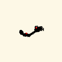 Cc1c(C)n(CCCCCCCCCN(C)Cc2ccc(OCCN3CCOCC3)cc2)c2ccc3[nH]c(=O)cc(Cl)c3c12